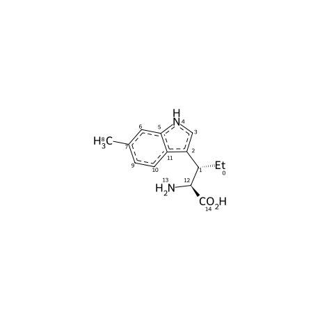 CC[C@@H](c1c[nH]c2cc(C)ccc12)[C@H](N)C(=O)O